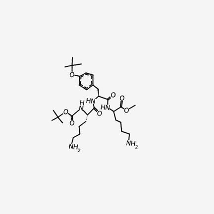 COC(=O)C(CCCCN)NC(=O)[C@H](Cc1ccc(OC(C)(C)C)cc1)NC(=O)[C@H](CCCCN)NC(=O)OC(C)(C)C